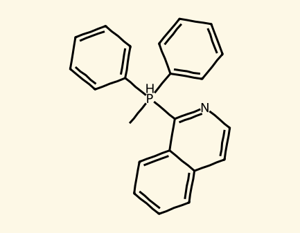 C[PH](c1ccccc1)(c1ccccc1)c1nccc2ccccc12